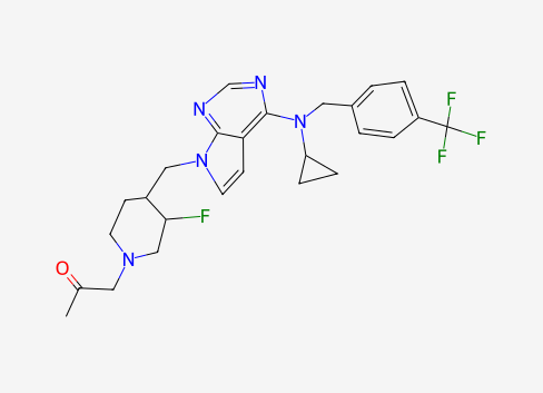 CC(=O)CN1CCC(Cn2ccc3c(N(Cc4ccc(C(F)(F)F)cc4)C4CC4)ncnc32)C(F)C1